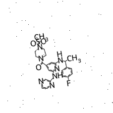 CC(Nc1cc(C(=O)N2CCN(S(C)(=O)=O)CC2)cc(Nc2cnccn2)n1)c1ccc(F)cc1